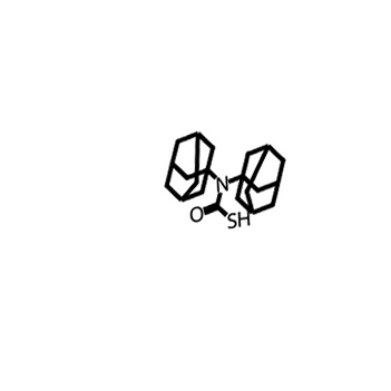 O=C(S)N(C12CC3CC(CC(C3)C1)C2)C12CC3CC(CC(C3)C1)C2